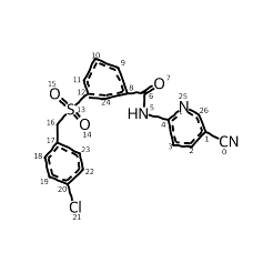 N#Cc1ccc(NC(=O)c2cccc(S(=O)(=O)Cc3ccc(Cl)cc3)c2)nc1